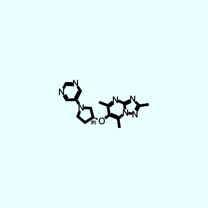 Cc1nc2nc(C)c(O[C@@H]3CCN(c4cncnc4)C3)c(C)n2n1